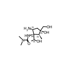 C[C@H](O)[C@@]1(NC(=O)N(C)C)[C@H](C)[C@@](O)(CO)C[C@@H]1N